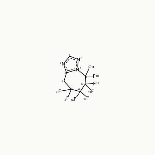 FC1(F)Cc2ncnn2C(F)(F)C(F)(F)C1(F)F